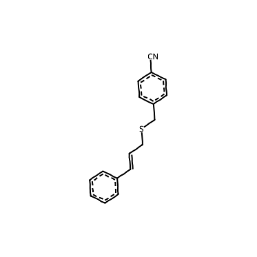 N#Cc1ccc(CSCC=Cc2ccccc2)cc1